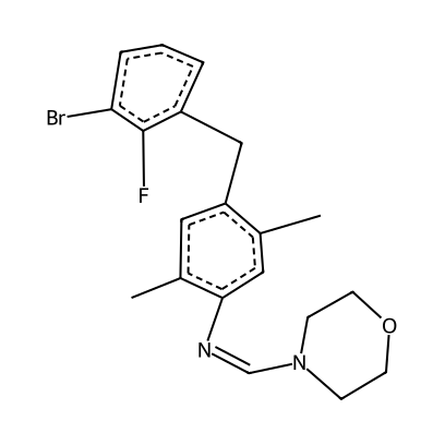 Cc1cc(/N=C\N2CCOCC2)c(C)cc1Cc1cccc(Br)c1F